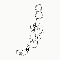 C[C@]12CC=C3C=C4CC[C@H](N5CC[C@@H](F)C5)C[C@]45CCC3(O5)[C@@H]1CCC2c1ccc2ccccc2c1